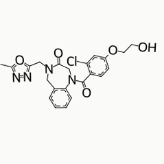 Cc1nnc(CN2Cc3ccccc3N(C(=O)c3ccc(OCCO)cc3Cl)CC2=O)o1